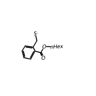 CCCCCCOC(=O)c1ccccc1C[S]